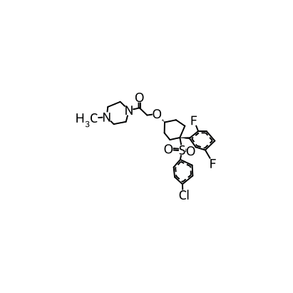 CN1CCN(C(=O)CO[C@H]2CC[C@@](c3cc(F)ccc3F)(S(=O)(=O)c3ccc(Cl)cc3)CC2)CC1